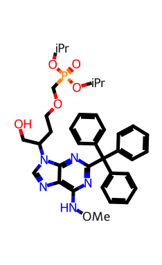 CONc1nc(C(c2ccccc2)(c2ccccc2)c2ccccc2)nc2c1ncn2C(CO)CCOCP(=O)(OC(C)C)OC(C)C